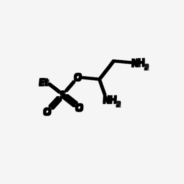 CCS(=O)(=O)OC(N)CN